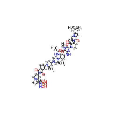 C=CC(=O)Nc1cc(Nc2nc(N3CCC[C@@H](N4CCn5c(cc6c5CC(C)(C)C6)C4=O)[C@H]3[C@H](C)O)cn(C)c2=O)ccc1N1CCN(C2CCN(c3ccc4c(c3)C(=O)N(c3ccnc(C(C)(C)NP(=O)(O)O)c3)C4=O)[C@H](C)C2)C[C@@H]1C